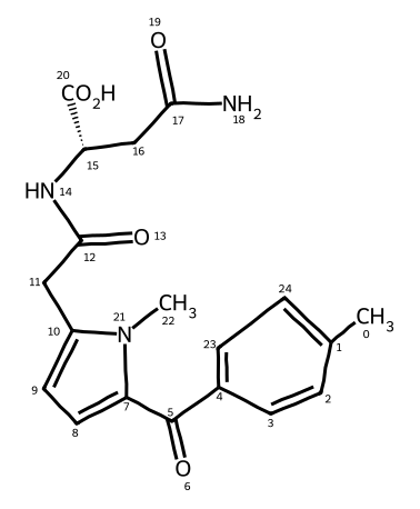 Cc1ccc(C(=O)c2ccc(CC(=O)N[C@@H](CC(N)=O)C(=O)O)n2C)cc1